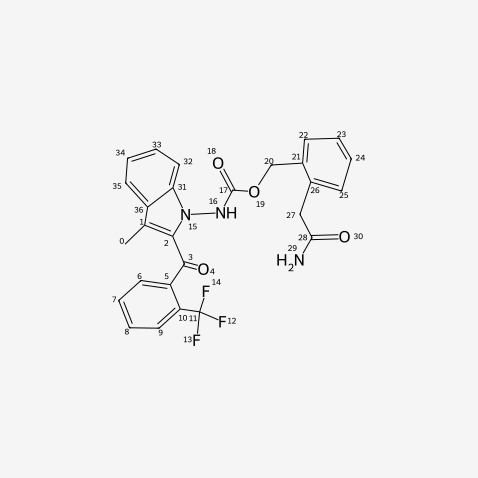 Cc1c(C(=O)c2ccccc2C(F)(F)F)n(NC(=O)OCc2ccccc2CC(N)=O)c2ccccc12